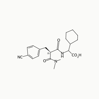 CN(C)C(=O)[C@@H](Cc1ccc(C#N)cc1)C(=O)NC(C(=O)O)C1CCCCC1